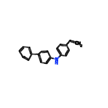 C=Cc1ccc(Nc2ccc(-c3ccccc3)cc2)cc1